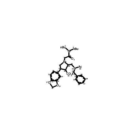 CCCCN(CCCC)C(=O)CN1CC(c2ccc3c(c2)OCO3)C(C(=O)OCC)C1CN(Cc1ccccc1)C(C)=O